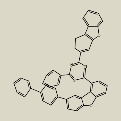 C1=C(c2nc(-c3ccccc3)nc(-c3cccc4oc5ccc(-c6ccc(-c7ccccc7)cc6)cc5c34)n2)CCc2c1oc1ccccc21